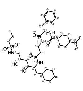 CCCS(=O)(=O)NC[C@@H](O)C[C@H](O)[C@H](CC1CCCCC1)NC(=O)CCNC(=O)[C@H](Cc1ccccc1)NC(=O)N1CCC(N(C)C)CC1